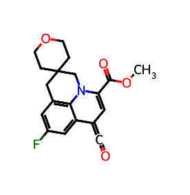 COC(=O)C1=CC(=C=O)c2cc(F)cc3c2N1CC1(CCOCC1)C3